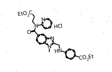 CCOC(=O)CCN(C(=O)c1ccc2c(c1)nc(CNc1ccc(C(=O)OCC)cc1)n2C)c1ccccn1.Cl